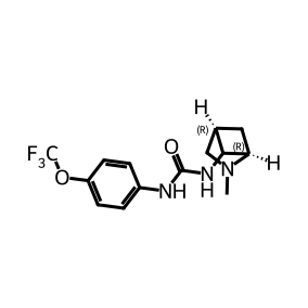 CN1C[C@H]2C[C@@H]1C2NC(=O)Nc1ccc(OC(F)(F)F)cc1